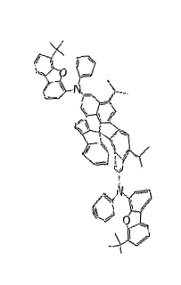 CC(C)c1cc2c(c3ccc(N(c4ccccc4)c4cccc5c4oc4c(C(C)(C)C)cccc45)cc13)C1(c3ccccc3-c3ccccc31)c1c-2cc(C(C)C)c2cc(N(c3ccccc3)c3cccc4c3oc3c(C(C)(C)C)cccc34)ccc12